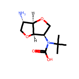 CC(C)(C)N(C(=O)O)[C@@H]1CO[C@H]2[C@@H]1OC[C@@H]2N